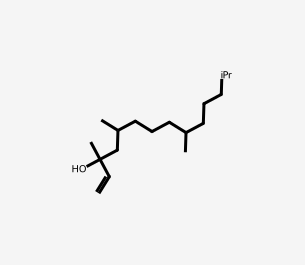 C=CC(C)(O)CC(C)CCCC(C)CCCC(C)C